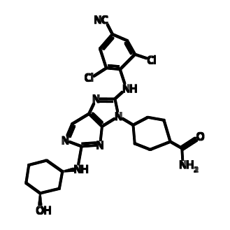 N#Cc1cc(Cl)c(Nc2nc3cnc(N[C@@H]4CCC[C@H](O)C4)nc3n2C2CCC(C(N)=O)CC2)c(Cl)c1